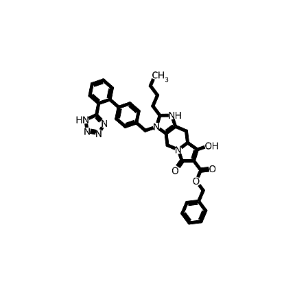 CCCCC1NC2=C(CN3C(=O)C(C(=O)OCc4ccccc4)=C(O)C3C2)N1Cc1ccc(-c2ccccc2-c2nnn[nH]2)cc1